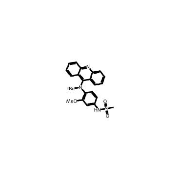 COc1cc(NS(C)(=O)=O)ccc1N(c1c2ccccc2nc2ccccc12)C(C)(C)C